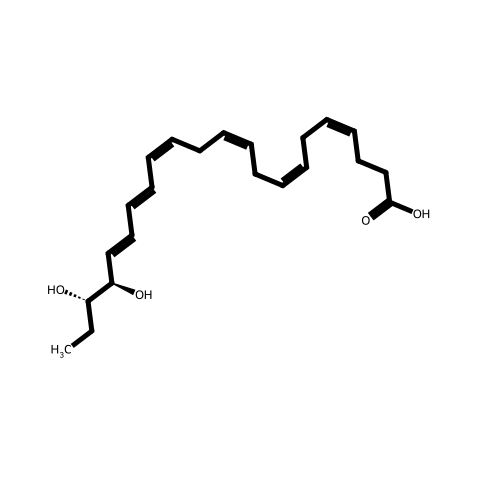 CC[C@H](O)[C@H](O)/C=C/C=C/C=C\C/C=C\C/C=C\C/C=C\CCC(=O)O